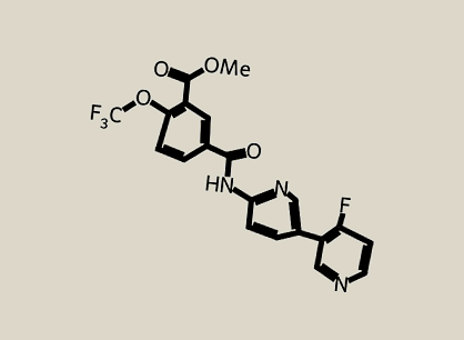 COC(=O)c1cc(C(=O)Nc2ccc(-c3cnccc3F)cn2)ccc1OC(F)(F)F